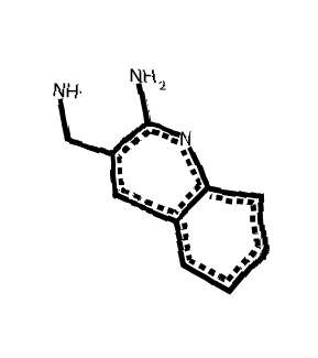 [NH]Cc1cc2ccccc2nc1N